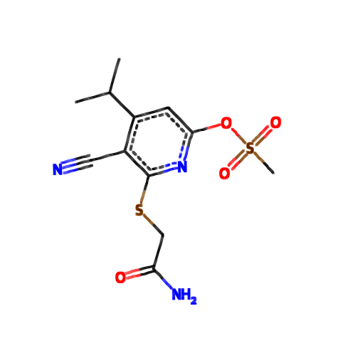 CC(C)c1cc(OS(C)(=O)=O)nc(SCC(N)=O)c1C#N